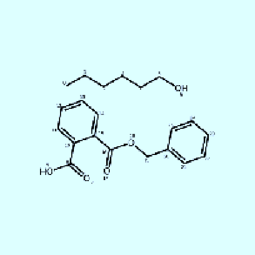 CCCCCCO.O=C(O)c1ccccc1C(=O)OCc1ccccc1